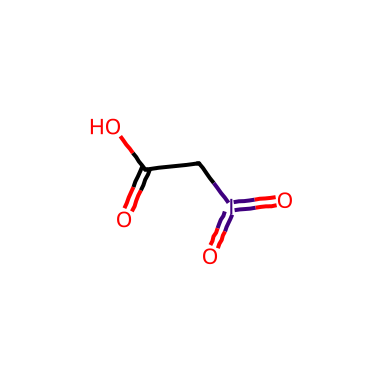 O=C(O)CI(=O)=O